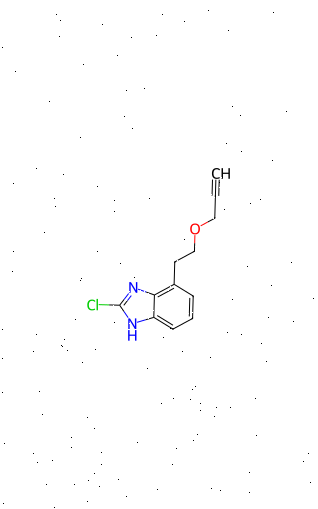 C#CCOCCc1cccc2[nH]c(Cl)nc12